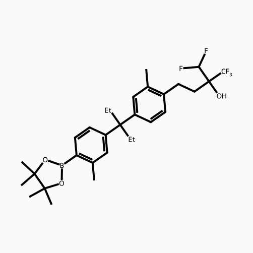 CCC(CC)(c1ccc(CCC(O)(C(F)F)C(F)(F)F)c(C)c1)c1ccc(B2OC(C)(C)C(C)(C)O2)c(C)c1